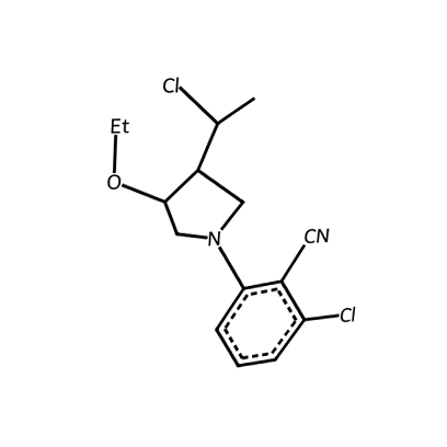 CCOC1CN(c2cccc(Cl)c2C#N)CC1C(C)Cl